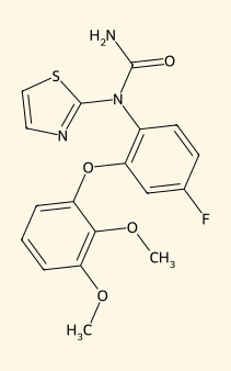 COc1cccc(Oc2cc(F)ccc2N(C(N)=O)c2nccs2)c1OC